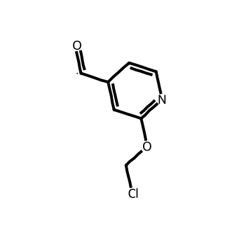 O=[C]c1ccnc(OCCl)c1